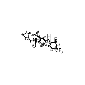 O=C(NCC1CCCC1)c1cnc(Nc2ccc(C(F)(F)F)cc2F)cc1C1CC1